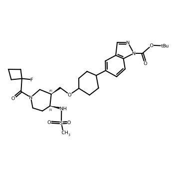 CC(C)(C)OC(=O)n1ncc2cc(C3CCC(OC[C@@H]4CN(C(=O)C5(F)CCC5)CC[C@@H]4NS(C)(=O)=O)CC3)ccc21